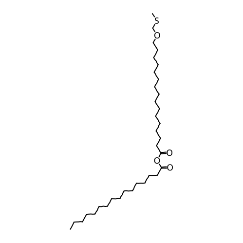 CCCCCCCCCCCCCCCC(=O)OC(=O)CCCCCCCCCCCCCCCOCSC